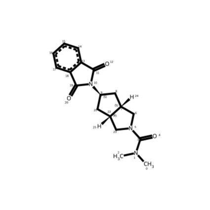 CN(C)C(=O)N1C[C@H]2C[C@H](N3C(=O)c4ccccc4C3=O)C[C@H]2C1